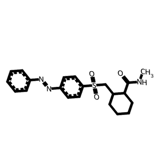 CNC(=O)C1CCCCC1CS(=O)(=O)c1ccc(N=Nc2ccccc2)cc1